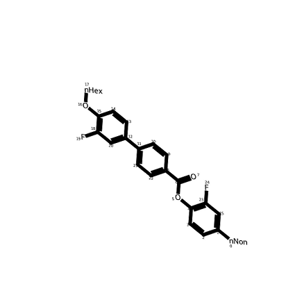 CCCCCCCCCc1ccc(OC(=O)c2ccc(-c3ccc(OCCCCCC)c(F)c3)cc2)c(F)c1